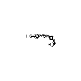 CCCCC1CCC(C=CCOCC=CC2CCC(CCCC)CC2)CC1